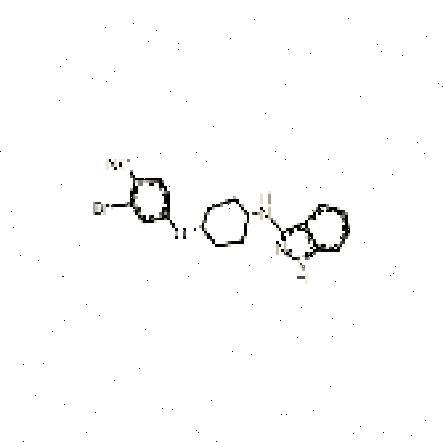 N#Cc1ccc(O[C@H]2CC[C@H](Nc3n[nH]c4ccccc34)CC2)cc1Br